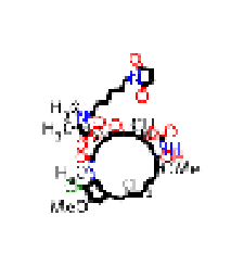 COc1cc2cc(c1Cl)N(C)C(=O)C[C@H](OC(=O)[C@H](C)N(C)C(=O)CCCCCN1C(=O)C=CC1=O)C1(C)OC1[C@H](C)[C@@H]1C[C@@](O)(NC(=O)O1)[C@H](OC)/C=C/C=C(\C)C2